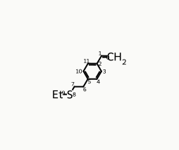 C=Cc1ccc(CCSCC)cc1